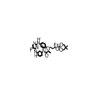 C=CC(=O)Nc1cccc(Nc2nc(Nc3ccc(OCCCOC4(CC)OCC(C)(C)CO4)cc3)ncc2F)c1